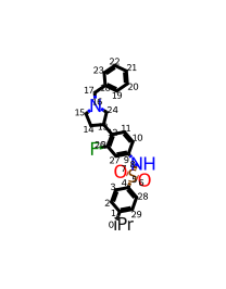 CC(C)c1ccc(S(=O)(=O)Nc2ccc(C3CCN(Cc4ccccc4)C3)c(F)c2)cc1